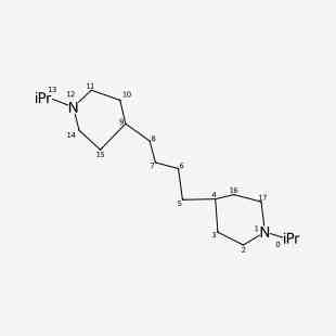 CC(C)N1CCC(CCCCC2CCN(C(C)C)CC2)CC1